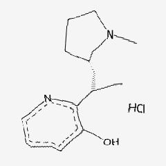 CC(c1ncccc1O)[C@@H]1CCCN1C.Cl